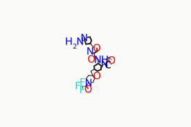 Nc1cc(-c2nc(C(=O)Nc3cc4c(cc3N3CCOCC3)OC3(CCN(C(=O)C(F)(F)F)CC3)C4)co2)ccn1